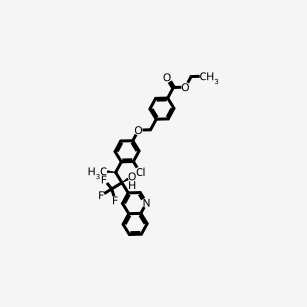 CCOC(=O)c1ccc(COc2ccc([C@H](C)[C@](O)(c3cnc4ccccc4c3)C(F)(F)F)c(Cl)c2)cc1